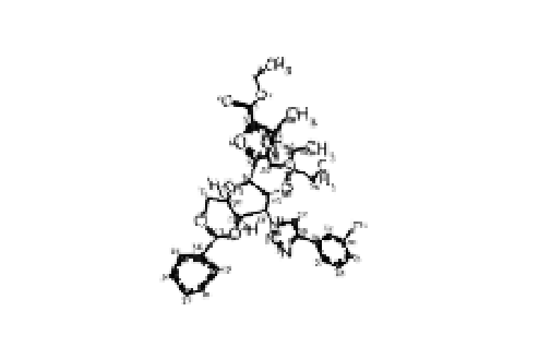 CCOC(=O)c1oc([C@@H]2O[C@@H]3CO[C@H](c4ccccc4)O[C@@H]3[C@H](n3cc(-c4cccc(F)c4)nn3)[C@H]2O[Si](CC)(CC)CC)nc1C